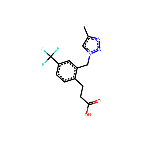 Cc1cn(Cc2cc(C(F)(F)F)ccc2CCC(=O)O)nn1